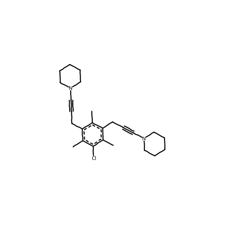 Cc1c(Cl)c(C)c(CC#CN2CCCCC2)c(C)c1CC#CN1CCCCC1